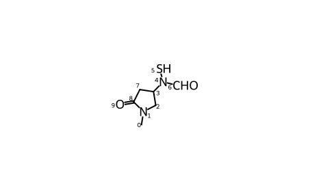 CN1CC(N(S)C=O)CC1=O